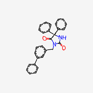 O=C1NC(c2ccccc2)(c2ccccc2)C(=O)N1Cc1cccc(-c2ccccc2)c1